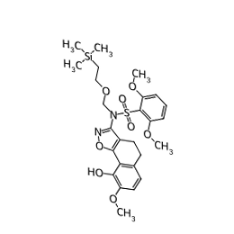 COc1ccc2c(c1O)-c1onc(N(COCC[Si](C)(C)C)S(=O)(=O)c3c(OC)cccc3OC)c1CC2